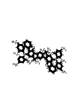 Cc1ccc(N(c2ccc(C)cc2C)c2cc3c(c4oc5ccccc5c24)-c2cc4c(cc2C3(C)C)-c2c(cc(N(c3ccc(C)cc3C)c3ccc(C)cc3C)c3c2oc2ccccc23)C4(C)C)c(C)c1